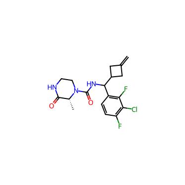 C=C1CC(C(NC(=O)N2CCNC(=O)[C@H]2C)c2ccc(F)c(Cl)c2F)C1